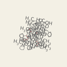 CN[C@@H](C)C(=O)N[C@H](C(=O)N(C)[C@@H](CC(C)C)C(=O)N[C@H](C(=O)N(C)[C@@H](Cc1ccccc1)C(=O)NCC(=O)N(C)[C@@H](CC(C)C)C(=O)N(C)[C@H](C(=O)N[C@@H](Cc1ccccc1)C(=O)N[C@@H](CC(=O)SCc1ccccc1)C(=O)N(C)C(Cc1ccccc1)C(=O)N[C@@H](C)C(=O)N1CCCCC1)C(C)C)[C@@H](C)O)C(C)C